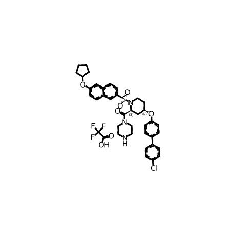 O=C(O)C(F)(F)F.O=C([C@@H]1C[C@H](Oc2ccc(-c3ccc(Cl)cc3)cc2)CCN1S(=O)(=O)c1ccc2cc(OC3CCCC3)ccc2c1)N1CCNCC1